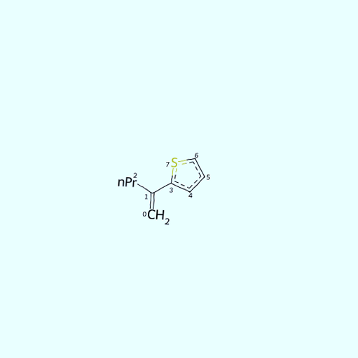 C=C(CCC)c1cccs1